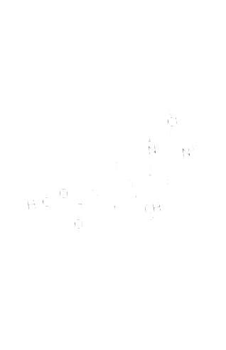 COC(=O)c1ccc(-c2ccnc(Cl)n2)c(C)c1